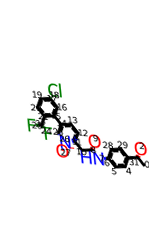 CC(=O)c1ccc(NC(=O)Cc2ccc(-c3cc(Cl)ccc3C(F)F)c[n+]2[O-])cc1